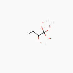 CCC(OC)C(OC)(OC)O[SiH3]